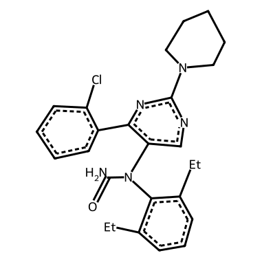 CCc1cccc(CC)c1N(C(N)=O)c1cnc(N2CCCCC2)nc1-c1ccccc1Cl